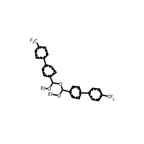 CCOC(OC(OCC)c1ccc(-c2ccc(C(F)(F)F)cc2)cc1)c1ccc(-c2ccc(C(F)(F)F)cc2)cc1